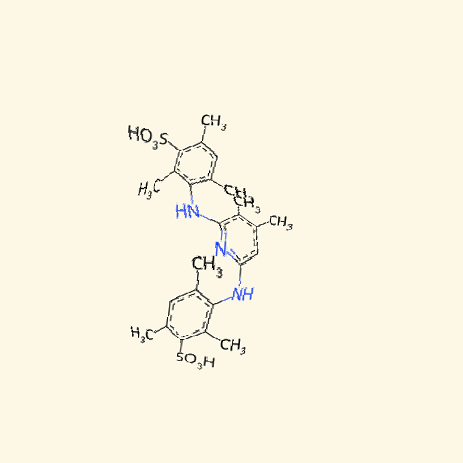 Cc1cc(Nc2c(C)cc(C)c(S(=O)(=O)O)c2C)nc(Nc2c(C)cc(C)c(S(=O)(=O)O)c2C)c1C